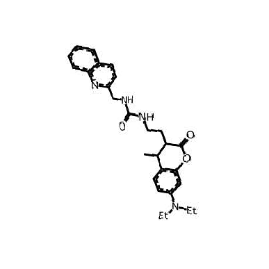 CCN(CC)c1ccc2c(c1)OC(=O)C(CCNC(=O)NCc1ccc3ccccc3n1)C2C